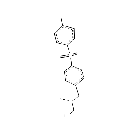 Cl.N[C@H](CO)Cc1ccc(S(=O)(=O)c2ccc(F)cc2)cc1